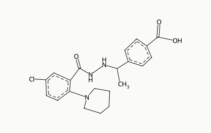 CC(NNC(=O)c1cc(Cl)ccc1N1CCCCC1)c1ccc(C(=O)O)cc1